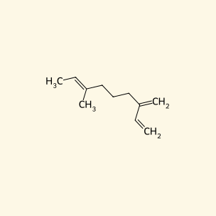 C=CC(=C)CCC/C(C)=C/C